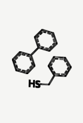 SCc1ccccc1.c1ccc(-c2ccccc2)cc1